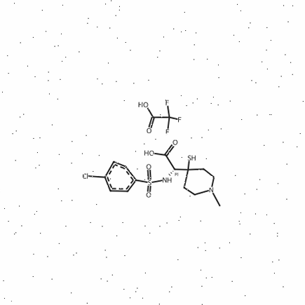 CN1CCC(S)([C@H](NS(=O)(=O)c2ccc(Cl)cc2)C(=O)O)CC1.O=C(O)C(F)(F)F